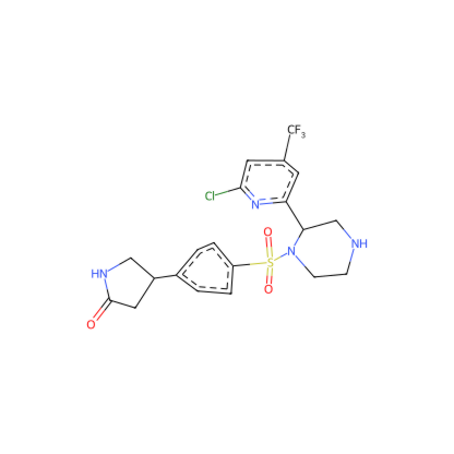 O=C1CC(c2ccc(S(=O)(=O)N3CCNCC3c3cc(C(F)(F)F)cc(Cl)n3)cc2)CN1